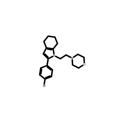 Brc1ccc(-c2cc3c(n2CCN2CCOCC2)CCCC3)cc1